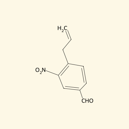 C=CCc1ccc(C=O)cc1[N+](=O)[O-]